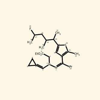 CCOC(=O)CN(C=C1CC1)/N=C(\c1cc(C(C)C(C)CC(C)F)sc1C)C(C)C